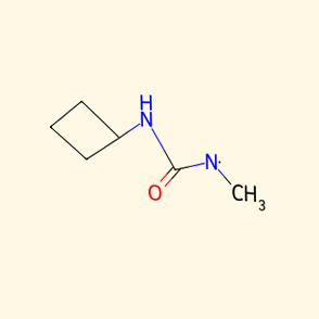 C[N]C(=O)NC1CCC1